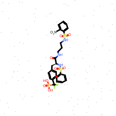 O=C(NCCCNS(=O)(=O)c1ccccc1[N+](=O)[O-])[C@H](Cc1ccc(C(F)(F)P(=O)(O)O)cc1)NS(=O)(=O)c1ccccc1